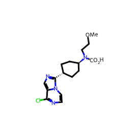 COCCN(C(=O)O)[C@H]1CC[C@H](c2ncc3c(Cl)nccn32)CC1